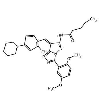 CCCCC(=O)Nc1nn2c(-c3cc(OC)ccc3OC)nnc2/c1=C\c1ccc(N2CCCCC2)cc1C